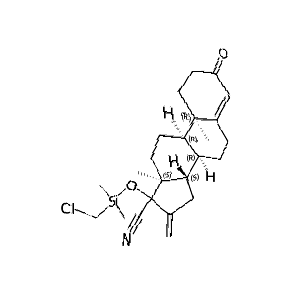 C=C1C[C@H]2[C@@H]3CCC4=CC(=O)CC[C@]4(C)[C@@H]3CC[C@]2(C)C1(C#N)O[Si](C)(C)CCl